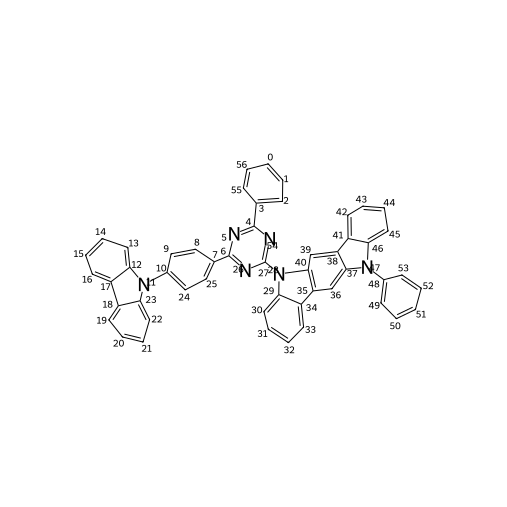 c1ccc(-c2nc(-c3ccc(-n4c5ccccc5c5ccccc54)cc3)nc(-n3c4ccccc4c4cc5c(cc43)c3ccccc3n5-c3ccccc3)n2)cc1